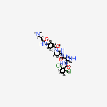 CN(C)C/C=C/C(=O)Nc1ccc(C(=O)N2CCC[C@@H](NC(=O)c3n[nH]cc3NC(=O)c3c(Cl)cccc3Cl)C2)cc1